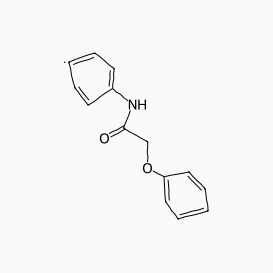 O=C(COc1ccccc1)Nc1cc[c]cc1